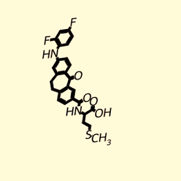 CSCCC(NC(=O)c1ccc2c(c1)C(=O)c1ccc(Nc3ccc(F)cc3F)cc1CC2)C(=O)O